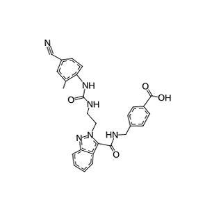 Cc1cc(C#N)ccc1NC(=O)NCCn1nc2ccccc2c1C(=O)NCc1ccc(C(=O)O)cc1